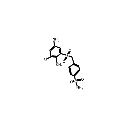 Cc1c(Cl)cc(N)cc1S(=O)(=O)Cc1ccc(S(N)(=O)=O)cc1